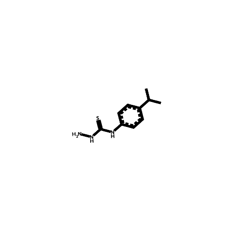 CC(C)c1ccc(NC(=S)NN)cc1